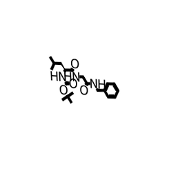 CC(C)C[C@H](NC(=O)OC(C)(C)C)C(=O)NCC(=O)NCc1ccccc1